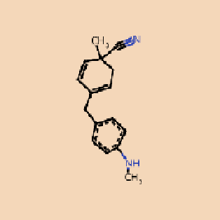 CNc1ccc(CC2=CCC(C)(C#N)C=C2)cc1